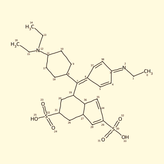 CCN=C1C=CC(=C(C2CCC(N(CC)CC)CC2)C2CC(S(=O)(=O)O)CC3C=C(S(=O)(=O)O)C=CC32)C=C1